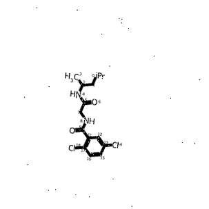 CC(C)CC(C)NC(=O)CNC(=O)c1cc(Cl)ccc1Cl